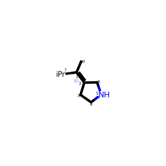 C/C(=C1/CCNC1)C(C)C